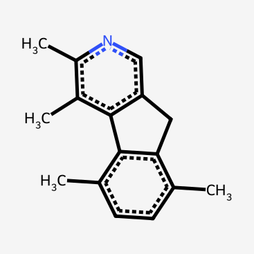 Cc1ccc(C)c2c1Cc1cnc(C)c(C)c1-2